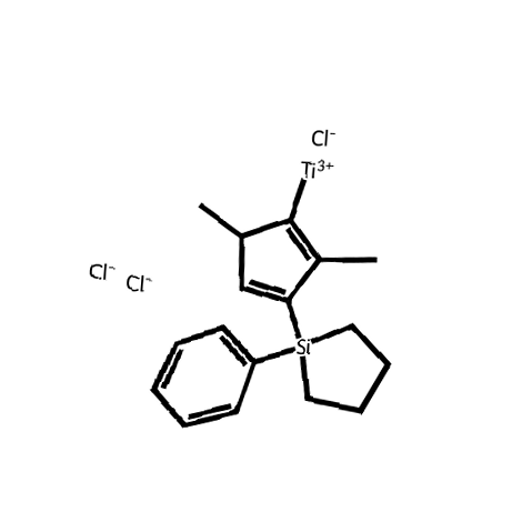 CC1=[C]([Ti+3])C(C)C=C1[Si]1(c2ccccc2)CCCC1.[Cl-].[Cl-].[Cl-]